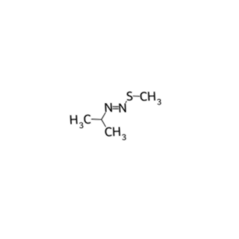 CS/N=N/C(C)C